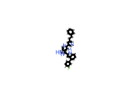 Fc1cccc(-c2cccc3[nH]c(-c4n[nH]c5cnc(-c6cncc(CCc7ccccc7)c6)cc45)cc23)c1